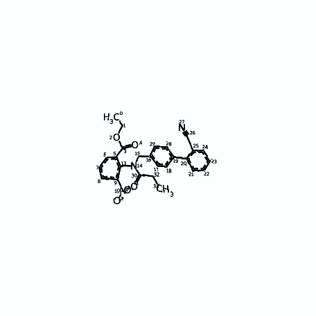 CCOC(=O)c1cccc([N+](=O)[O-])c1N(Cc1ccc(-c2ccccc2C#N)cc1)C(=O)CC